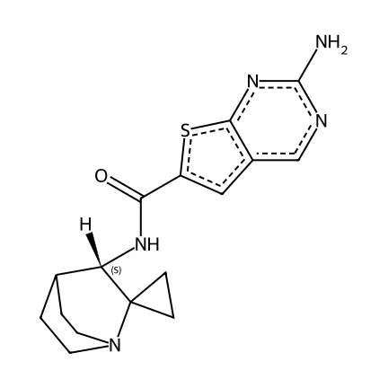 Nc1ncc2cc(C(=O)N[C@H]3C4CCN(CC4)C34CC4)sc2n1